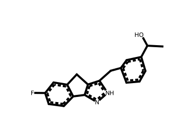 CC(O)c1cccc(Cc2[nH]nc3c2Cc2cc(F)ccc2-3)c1